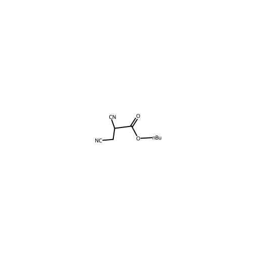 CCCCOC(=O)C(C#N)CC#N